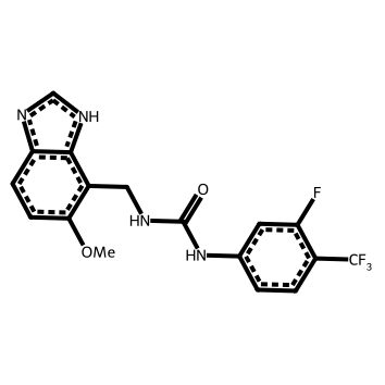 COc1ccc2nc[nH]c2c1CNC(=O)Nc1ccc(C(F)(F)F)c(F)c1